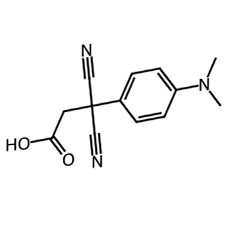 CN(C)c1ccc(C(C#N)(C#N)CC(=O)O)cc1